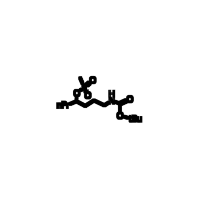 CCCC(CCCNC(=O)OC(C)(C)C)OS(C)(=O)=O